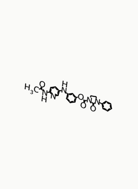 CC(=O)Nc1ccc(Nc2cccc(OC(=O)N3CCN(c4ccccc4)C3=O)c2)cn1